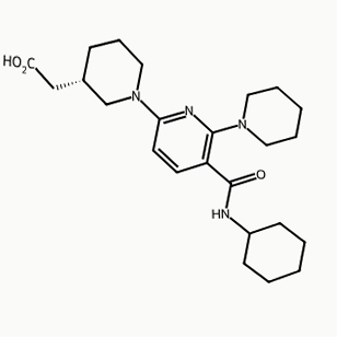 O=C(O)C[C@@H]1CCCN(c2ccc(C(=O)NC3CCCCC3)c(N3CCCCC3)n2)C1